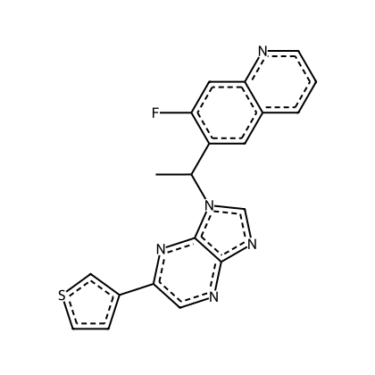 CC(c1cc2cccnc2cc1F)n1cnc2ncc(-c3ccsc3)nc21